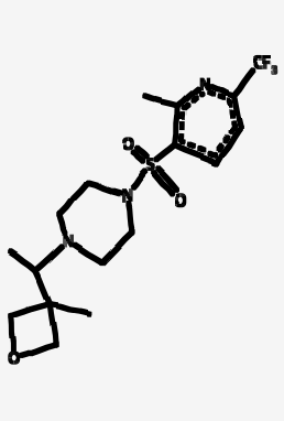 Cc1nc(C(F)(F)F)ccc1S(=O)(=O)N1CCN(C(C)C2(C)COC2)CC1